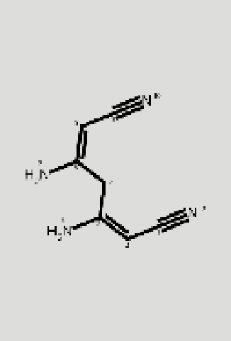 N#C/C=C(/N)C/C(N)=C\C#N